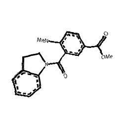 CNc1ccc(C(=O)OC)cc1C(=O)N1CCc2ccccc21